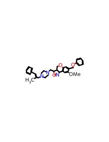 COc1cc2c(cc1COc1ccccc1)OCC1C2=NOC1CN1CCN(CC(C)=Cc2ccccc2)CC1